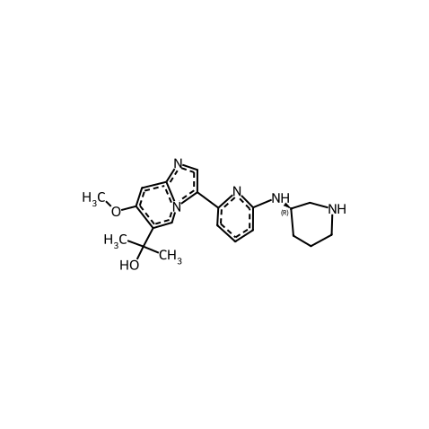 COc1cc2ncc(-c3cccc(N[C@@H]4CCCNC4)n3)n2cc1C(C)(C)O